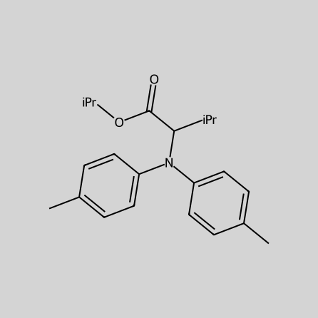 Cc1ccc(N(c2ccc(C)cc2)C(C(=O)OC(C)C)C(C)C)cc1